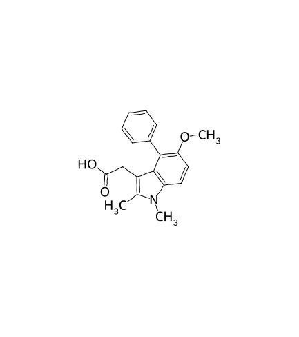 COc1ccc2c(c(CC(=O)O)c(C)n2C)c1-c1ccccc1